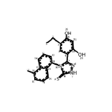 CCc1cc(-c2n[nH]c(=S)n2-c2cccc3c(C)cccc23)c(O)cc1O